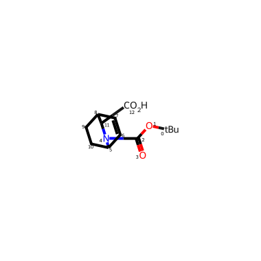 CC(C)(C)OC(=O)N1C2C=CC(CC2)C1C(=O)O